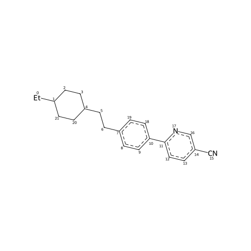 CCC1CCC(CCc2ccc(-c3ccc(C#N)cn3)cc2)CC1